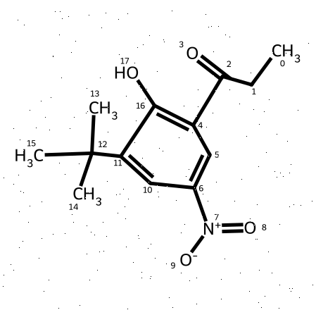 CCC(=O)c1cc([N+](=O)[O-])cc(C(C)(C)C)c1O